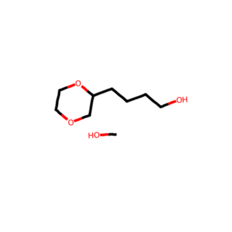 CO.OCCCCC1COCCO1